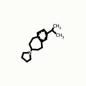 CC(C)c1ccc2c(c1)CCC(N1CCCC1)CC2